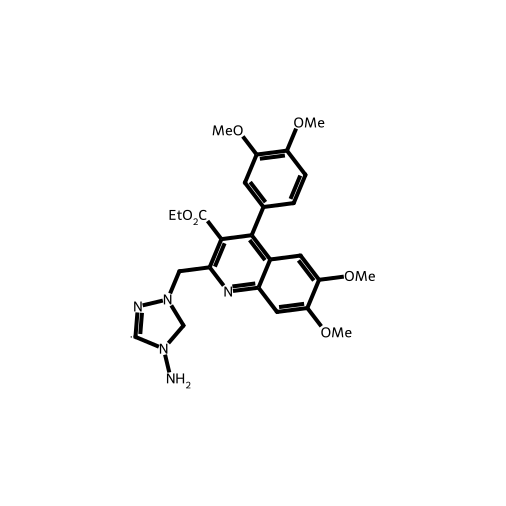 CCOC(=O)c1c(CN2CN(N)[C]=N2)nc2cc(OC)c(OC)cc2c1-c1ccc(OC)c(OC)c1